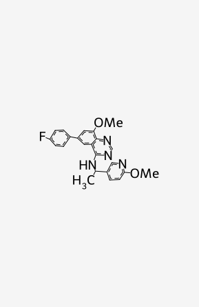 COc1ccc(C(C)Nc2ncnc3c(OC)cc(-c4ccc(F)cc4)cc23)cn1